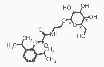 CC(C)c1cccc(C(C)C)c1OC(=O)C(=O)NCCO[C@@H]1O[C@H](CO)[C@H](O)[C@H](O)[C@H]1O